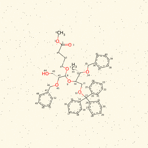 COC(=O)CCCOC(OC(COC(c1ccccc1)(c1ccccc1)c1ccccc1)[C@H](C)OCc1ccccc1)[C@@H](CO)OCc1ccccc1